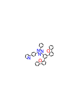 c1ccc(-c2nc(-c3ccc(-c4ccccn4)cc3)nc(-c3cc(-c4cccc5c4oc4ccccc45)cc(-c4cccc5c4oc4ccccc45)c3)n2)cc1